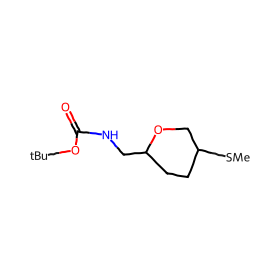 CSC1CCC(CNC(=O)OC(C)(C)C)OC1